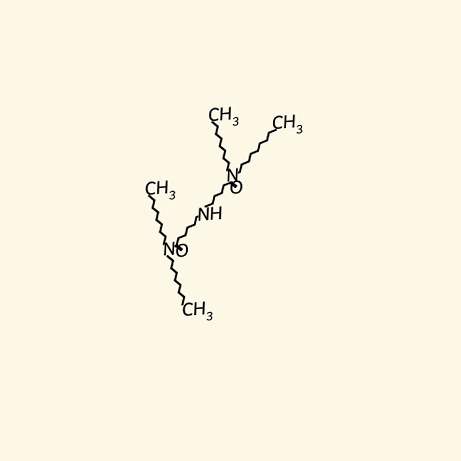 CCCCCCCCCCN(CCCCCCCCCC)C(=O)CCCCCNCCCCCC(=O)N(CCCCCCCCCC)CCCCCCCCCC